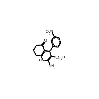 CCOC(=O)C1=C(N)NC2=C(C(=O)CCC2)C1c1cccc([N+](=O)[O-])c1